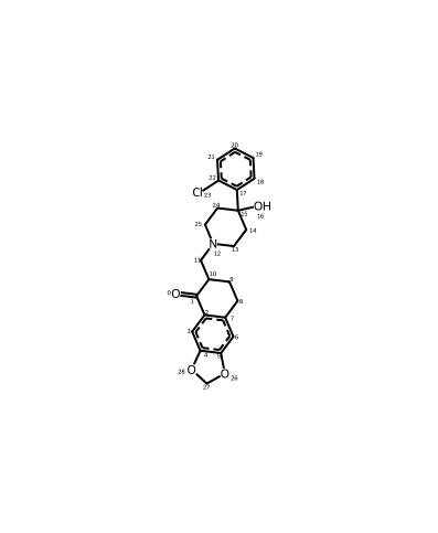 O=C1c2cc3c(cc2CCC1CN1CCC(O)(c2ccccc2Cl)CC1)OCO3